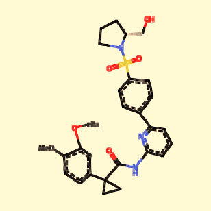 CCCCOc1cc(C2(C(=O)Nc3cccc(-c4ccc(S(=O)(=O)N5CCC[C@@H]5CO)cc4)n3)CC2)ccc1OC